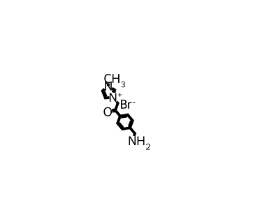 Cn1cc[n+](CC(=O)c2ccc(CN)cc2)c1.[Br-]